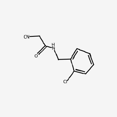 [C-]#[N+]CC(=O)NCc1ccccc1Cl